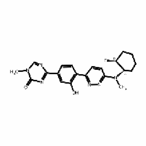 CN(c1ccc(-c2ccc(-c3ncn(C)c(=O)n3)cc2O)nn1)[C@@H]1CCCC[C@@H]1F